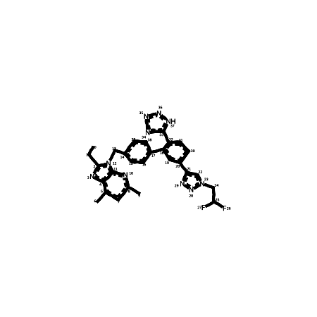 CCc1nc2c(C)cc(C)nc2n1Cc1ccc(-c2cc(-c3cn(CC(F)F)nn3)ccc2-c2nnn[nH]2)cc1